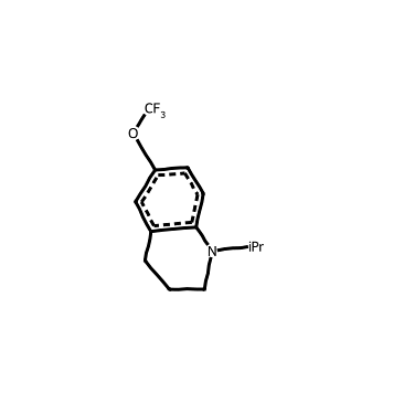 CC(C)N1CCCc2cc(OC(F)(F)F)ccc21